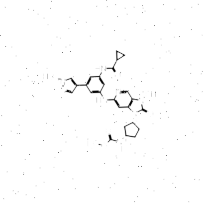 COC(=O)N[C@@H]1CC[C@@H](n2c(=O)n(C)c3cnc(Nc4cc(NC(=O)C5CC5)cc(-c5cnn(C)c5)c4)cc32)C1